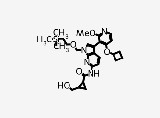 COc1nccc(OC2CCC2)c1-c1cn(COCC[Si](C)(C)C)c2nc(NC(=O)C3CC3CO)ccc12